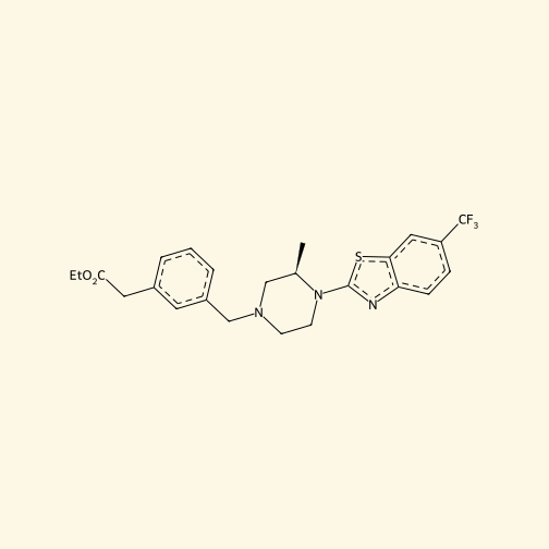 CCOC(=O)Cc1cccc(CN2CCN(c3nc4ccc(C(F)(F)F)cc4s3)[C@H](C)C2)c1